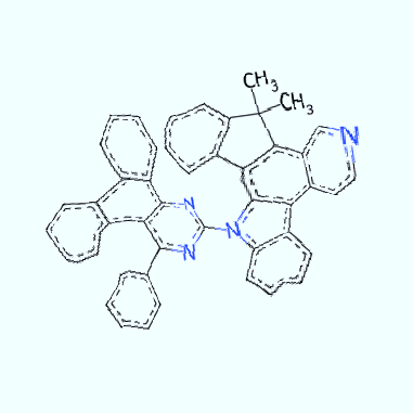 CC1(C)c2ccccc2-c2c1c1cnccc1c1c3ccccc3n(-c3nc(-c4ccccc4)c4c5ccccc5c5ccccc5c4n3)c21